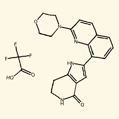 O=C(O)C(F)(F)F.O=C1NCCc2[nH]c(-c3cccc4ccc(N5CCOCC5)nc34)cc21